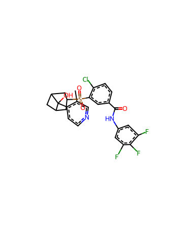 Cc1cnccc1C1(O)C2CC1CC(S(=O)(=O)c1cc(C(=O)Nc3cc(F)c(F)c(F)c3)ccc1Cl)C2